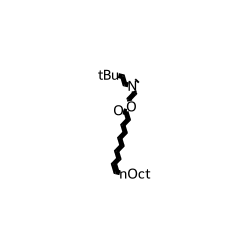 CCCCCCCC/C=C\CCCCCCCC(=O)OCCN(C)CCC(C)(C)C